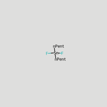 CCCC[CH2][Sn]([F])([F])[CH2]CCCC